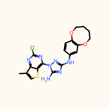 Cc1csc2c(-n3nc(Nc4ccc5c(c4)OCCCCO5)nc3N)nc(Cl)nc12